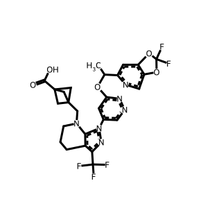 CC(Oc1cc(-n2nc(C(F)(F)F)c3c2N(CC24CC(C(=O)O)(C2)C4)CCC3)cnn1)c1cc2c(cn1)OC(F)(F)O2